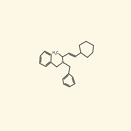 CC(/C=C/C1CCCCC1)N(Cc1ccccc1)Cc1ccccc1